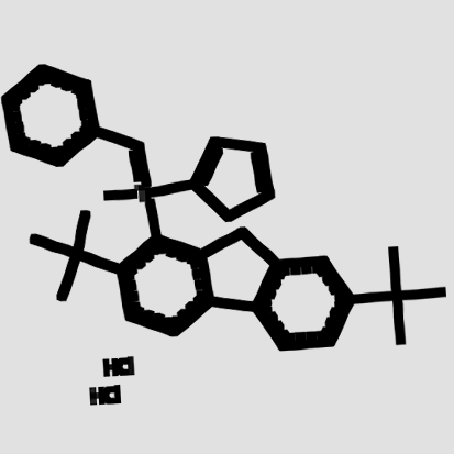 CC(C)(C)c1ccc2c(c1)Cc1c-2ccc(C(C)(C)C)[c]1[Ti]([CH3])(=[CH]c1ccccc1)[C]1=CC=CC1.Cl.Cl